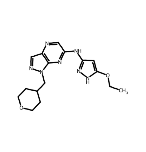 CCOc1cc(Nc2cnc3cnn(CC4CCOCC4)c3n2)n[nH]1